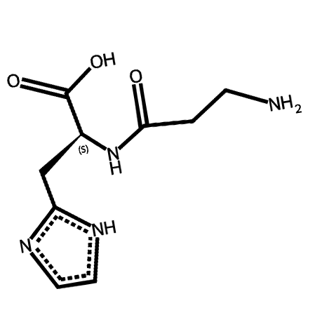 NCCC(=O)N[C@@H](Cc1ncc[nH]1)C(=O)O